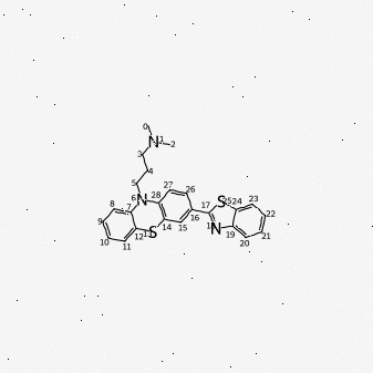 CN(C)CCCN1c2ccccc2Sc2cc(-c3nc4ccccc4s3)ccc21